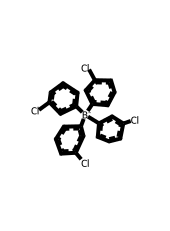 Clc1cccc([B-](c2cccc(Cl)c2)(c2cccc(Cl)c2)c2cccc(Cl)c2)c1